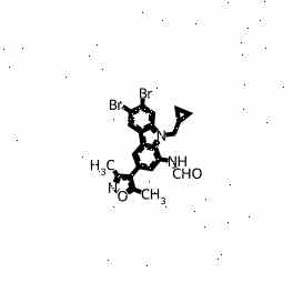 Cc1noc(C)c1-c1cc(NC=O)c2c(c1)c1cc(Br)c(Br)cc1n2CC1CC1